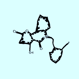 O=c1cc(O)c2c(=O)n(Cc3ccccc3F)c3ccccc3c2o1